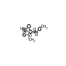 C=C[C@@H]1Oc2c(NC(=O)Nc3ccc(C)cc3)cc(-c3ccccc3-c3nnn[nH]3)cc2[C@@H]1c1ccccc1